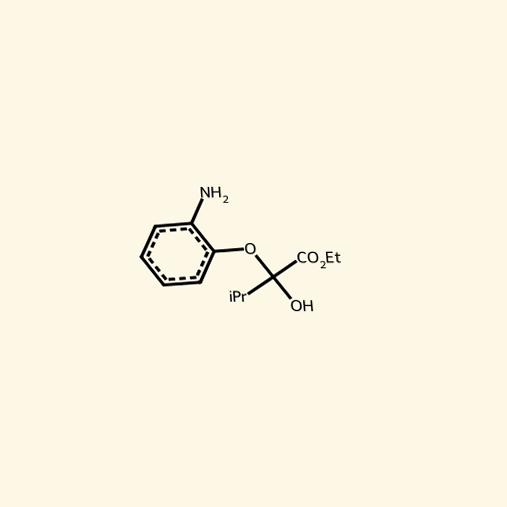 CCOC(=O)C(O)(Oc1ccccc1N)C(C)C